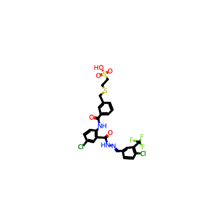 O=C(Nc1ccc(Cl)cc1C(=O)N/N=C/c1ccc(Cl)c(C(F)(F)F)c1)c1cccc(CSCCS(=O)(=O)O)c1